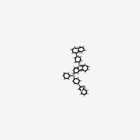 c1ccc(N(c2ccc(-c3cn4ccccc4n3)cc2)c2ccc3c(c2)c2ccccc2n3-c2ccc(-c3cccc4ccccc34)cc2)cc1